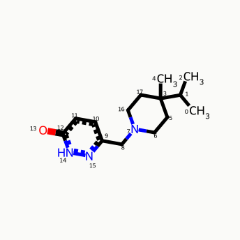 CC(C)C1(C)CCN(Cc2ccc(=O)[nH]n2)CC1